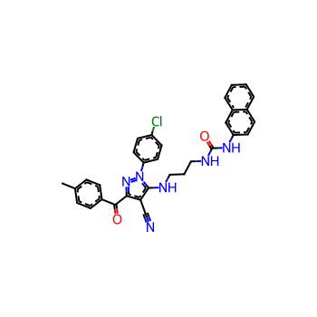 Cc1ccc(C(=O)c2nn(-c3ccc(Cl)cc3)c(NCCCNC(=O)Nc3ccc4ccccc4c3)c2C#N)cc1